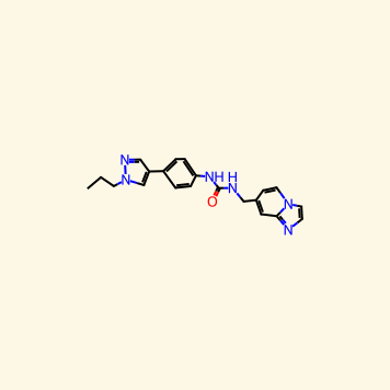 CCCn1cc(-c2ccc(NC(=O)NCc3ccn4ccnc4c3)cc2)cn1